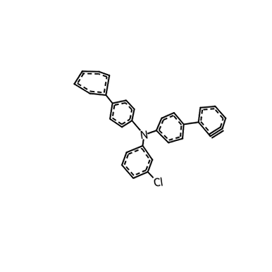 Clc1cccc(N(c2ccc(-c3c#cccc3)cc2)c2ccc(-c3ccccc3)cc2)c1